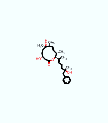 CC(=O)O[C@H]1/C=C/[C@H](C)[C@@H](/C(C)=C/C=C/C(C)(O)Cc2ccccc2)OC(=O)C[C@H](O)CC[C@@]1(C)O